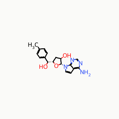 Cc1ccc(C(O)[C@@H]2C[C@@H](O)[C@H](n3ccc4c(N)ncnc43)O2)cc1